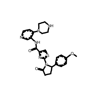 COc1ccc(C2CCC(=O)N2c2nc(C(=O)Nc3cnccc3N3CCNCC3)cs2)cc1